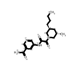 CCCC[C@H]1C[C@H](C)CN(C(=O)C(=O)Nc2cncc(C(N)=O)c2)C1